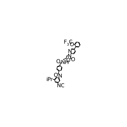 [C-]#[N+]c1cc(C(C)C)c2oc(-c3ccc(C(=O)NCC4CN(c5ccc(-c6ccccc6OC(F)(F)F)cn5)C(=O)O4)cc3)nc2c1